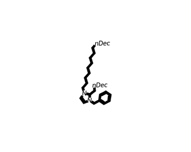 CCCCCCCCCCCCCCCCCCCN1C=CN(Cc2ccccc2)C1CCCCCCCCCCC